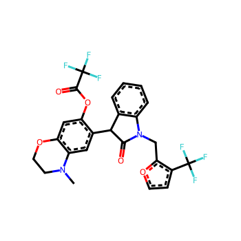 CN1CCOc2cc(OC(=O)C(F)(F)F)c(C3C(=O)N(Cc4occc4C(F)(F)F)c4ccccc43)cc21